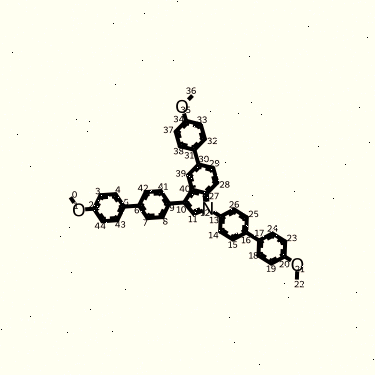 COc1ccc(-c2ccc(-c3cn(-c4ccc(-c5ccc(OC)cc5)cc4)c4ccc(-c5ccc(OC)cc5)cc34)cc2)cc1